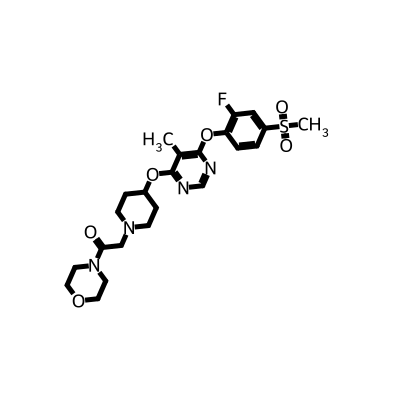 Cc1c(Oc2ccc(S(C)(=O)=O)cc2F)ncnc1OC1CCN(CC(=O)N2CCOCC2)CC1